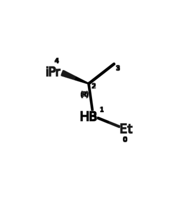 CCB[C@H](C)C(C)C